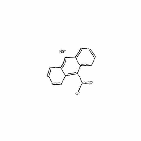 O=C([O-])c1c2ccccc2cc2ccccc12.[Na+]